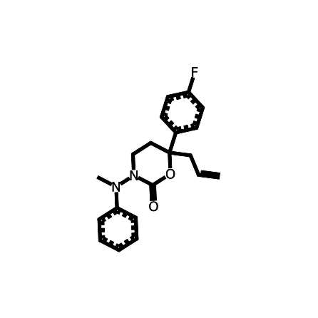 C=CCC1(c2ccc(F)cc2)CCN(N(C)c2ccccc2)C(=O)O1